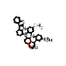 Cc1cc2c3c(c1)-n1c4sc5ccccc5c4c4cccc(c41)B3c1ccc(C(C)(C)C)cc1N2c1ccc(C(C)(C)C)cc1-c1ccccc1